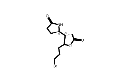 O=C1CC[C@H]([C@@H]2CC(=O)OC2CCCBr)N1